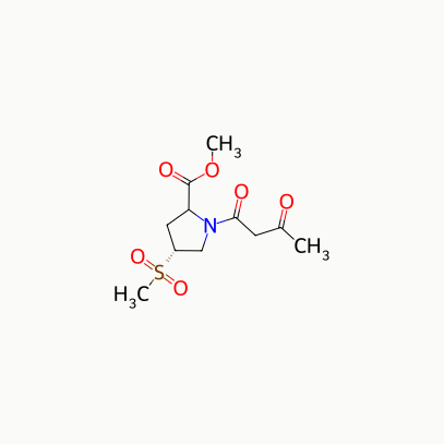 COC(=O)C1C[C@@H](S(C)(=O)=O)CN1C(=O)CC(C)=O